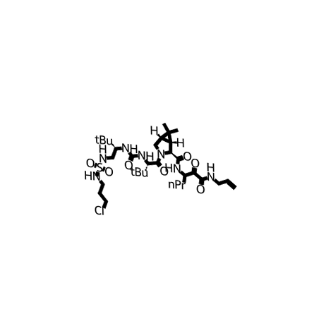 C=CCNC(=O)C(=O)C(CCC)NC(=O)[C@@H]1[C@@H]2[C@H](CN1C(=O)[C@@H](NC(=O)N[C@H](CNS(=O)(=O)NCCCCl)C(C)(C)C)C(C)(C)C)C2(C)C